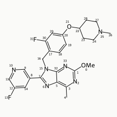 COc1nc(C)c2nc(-c3cncc(F)c3)n(Cc3ccc(OC4CCN(C)CC4)cc3F)c2n1